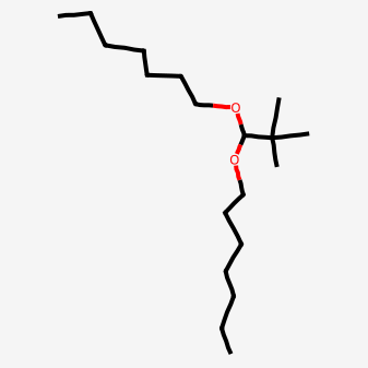 CCCCCCCOC(OCCCCCCC)C(C)(C)C